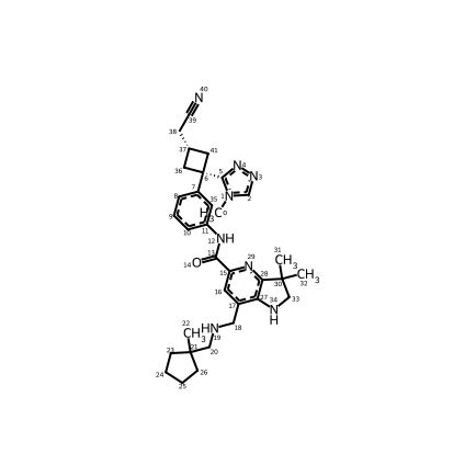 Cn1cnnc1[C@]1(c2cccc(NC(=O)c3cc(CNCC4(C)CCCC4)c4c(n3)C(C)(C)CN4)c2)C[C@H](CC#N)C1